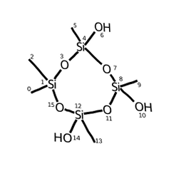 C[Si]1(C)O[Si](C)(O)O[Si](C)(O)O[Si](C)(O)O1